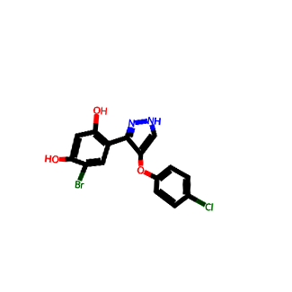 Oc1cc(O)c(-c2n[nH]cc2Oc2ccc(Cl)cc2)cc1Br